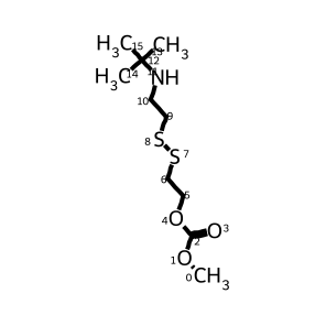 COC(=O)OCCSSCCNC(C)(C)C